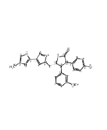 COc1cccc([C@H]2[C@H](Cn3cc(-c4nc(C)no4)nn3)OC(=O)N2c2ccc(Cl)cc2)c1